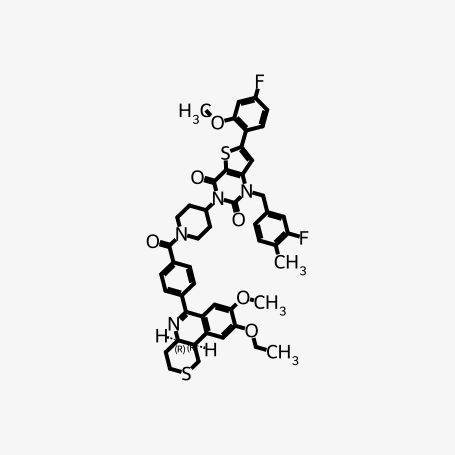 CCOc1cc2c(cc1OC)C(c1ccc(C(=O)N3CCC(n4c(=O)c5sc(-c6ccc(F)cc6OC)cc5n(Cc5ccc(C)c(F)c5)c4=O)CC3)cc1)=N[C@@H]1CCSC[C@H]21